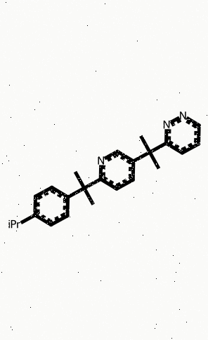 CC(C)c1ccc(C(C)(C)c2ccc(C(C)(C)c3cccnn3)cn2)cc1